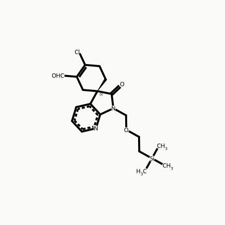 C[Si](C)(C)CCOCN1C(=O)[C@]2(CCC(Cl)=C(C=O)C2)c2cccnc21